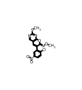 CON=c1oc2nc(SC)ncc2cc1-c1cc([N+](=O)[O-])ccc1Cl